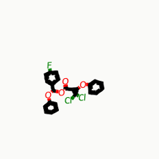 O=C(OC(Oc1ccccc1)c1ccc(F)cc1)C1C(Oc2ccccc2)C1(Cl)Cl